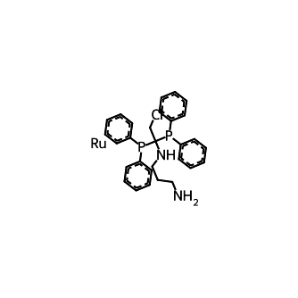 NCCCNC(CCl)(P(c1ccccc1)c1ccccc1)P(c1ccccc1)c1ccccc1.[Ru]